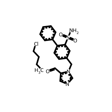 CCCCCl.NS(=O)(=O)c1cc(Cn2cncc2C=O)ccc1-c1ccccc1